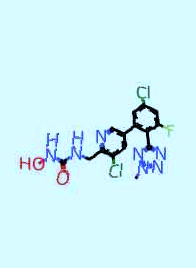 Cn1nnc(-c2c(F)cc(Cl)cc2-c2cnc(CNC(=O)NO)c(Cl)c2)n1